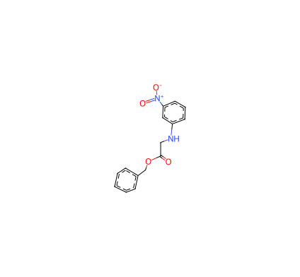 O=C(CNc1cccc([N+](=O)[O-])c1)OCc1ccccc1